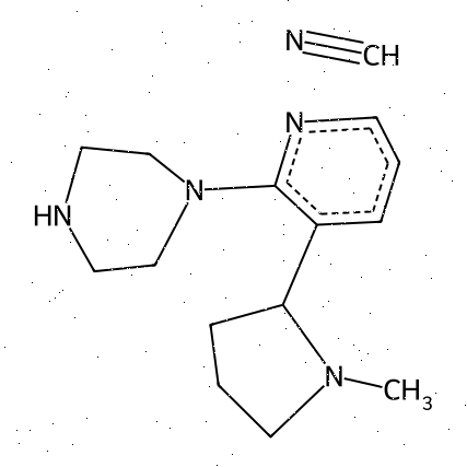 C#N.CN1CCCC1c1cccnc1N1CCNCC1